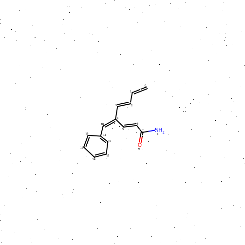 C=CC=CC(C=CC(N)=O)=Cc1ccccc1